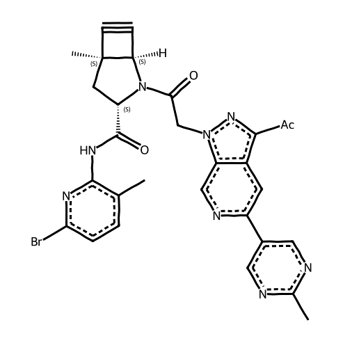 CC(=O)c1nn(CC(=O)N2[C@H](C(=O)Nc3nc(Br)ccc3C)C[C@@]3(C)C#C[C@@H]23)c2cnc(-c3cnc(C)nc3)cc12